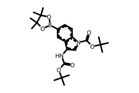 CC(C)(C)OC(=O)Nc1cn(C(=O)OC(C)(C)C)c2ccc(B3OC(C)(C)C(C)(C)O3)cc12